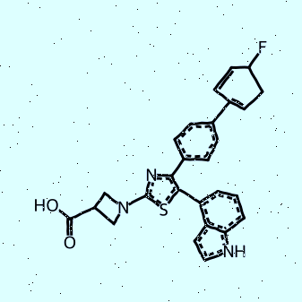 O=C(O)C1CN(c2nc(-c3ccc(C4=CCC(F)C=C4)cc3)c(-c3cccc4[nH]ccc34)s2)C1